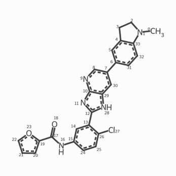 CN1CCc2cc(-c3cnc4nc(-c5cc(NC(=O)c6ccco6)ccc5Cl)[nH]c4c3)ccc21